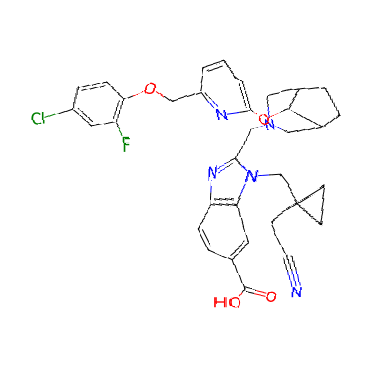 N#CCC1(Cn2c(CN3CC4CCC(C3)C4Oc3cccc(COc4ccc(Cl)cc4F)n3)nc3ccc(C(=O)O)cc32)CC1